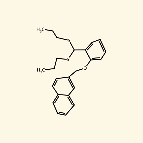 CCCSC(SCCC)c1ccccc1OCc1ccc2ccccc2c1